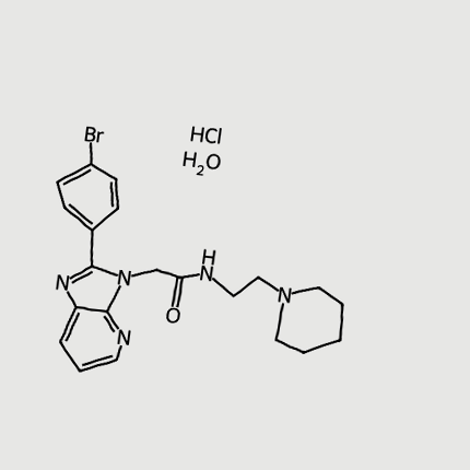 Cl.O.O=C(Cn1c(-c2ccc(Br)cc2)nc2cccnc21)NCCN1CCCCC1